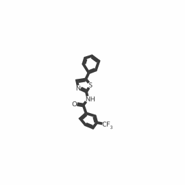 O=C(Nc1ncc(-c2ccccc2)s1)c1cccc(C(F)(F)F)c1